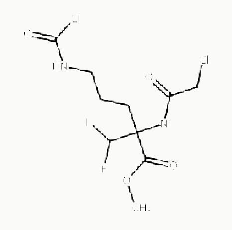 COC(=O)C(CCCNC(=O)Cl)(NC(=O)CCl)C(F)F